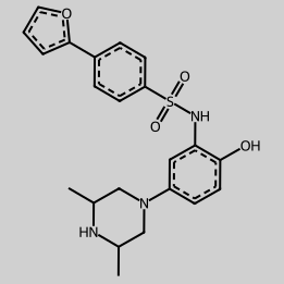 CC1CN(c2ccc(O)c(NS(=O)(=O)c3ccc(-c4ccco4)cc3)c2)CC(C)N1